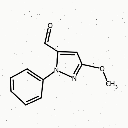 COc1cc(C=O)n(-c2ccccc2)n1